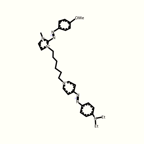 CCN(CC)c1ccc(/N=N/c2cc[n+](CCCCCC[n+]3ccn(C)c3/N=N/c3ccc(OC)cc3)cc2)cc1